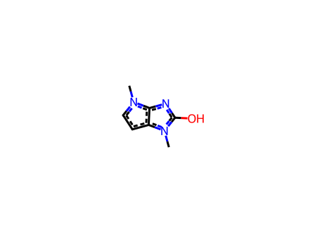 Cn1ccc2c1nc(O)n2C